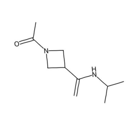 C=C(NC(C)C)C1CN(C(C)=O)C1